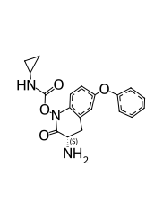 N[C@H]1Cc2cc(Oc3ccccc3)ccc2N(OC(=O)NC2CC2)C1=O